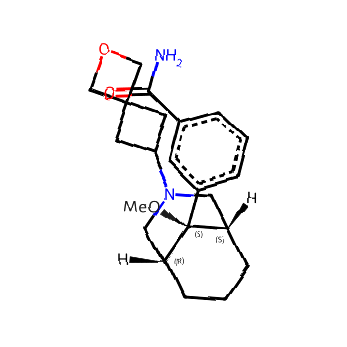 CO[C@]1(c2cccc(C(N)=O)c2)[C@@H]2CCC[C@H]1CN(C1CC3(COC3)C1)C2